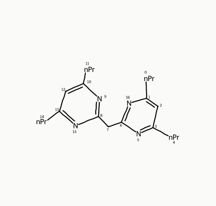 CCCc1cc(CCC)nc(Cc2nc(CCC)cc(CCC)n2)n1